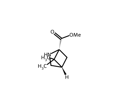 COC(=O)[C@@]12C[C@H](CN1)C2(C)C